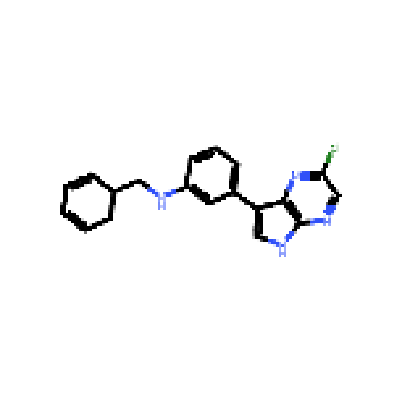 Clc1cnc2[nH]cc(-c3cccc(NCC4C=CC=CC4)c3)c2n1